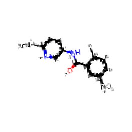 CC(=O)Nc1ccc(NC(=O)c2cc([N+](=O)[O-])ccc2C)cn1